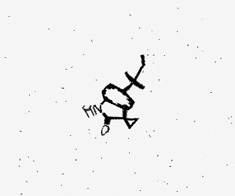 CCC(C)(C)c1ccc2c(c1)C1(CC1)C(=O)N2